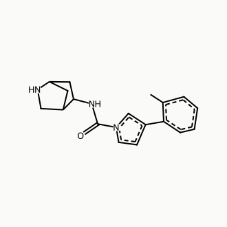 Cc1ccccc1-c1ccn(C(=O)NC2CC3CC2CN3)c1